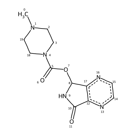 CN1CCN(C(=O)OC2NC(=O)c3nccnc32)CC1